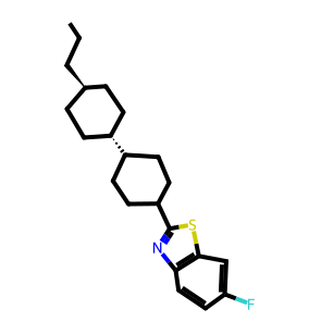 CCC[C@H]1CC[C@H](C2CCC(c3nc4ccc(F)cc4s3)CC2)CC1